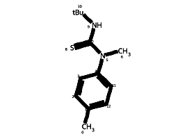 Cc1ccc(N(C)C(=S)NC(C)(C)C)cc1